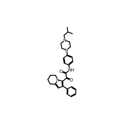 CC(C)CN1CCN(c2ccc(NC(=O)C(=O)c3c(-c4ccccc4)cc4n3CCCC4)cc2)CC1